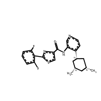 C[C@@H]1C[C@H](C)C[C@H](c2ccncc2NC(=O)c2csc(-c3c(F)cccc3F)n2)C1